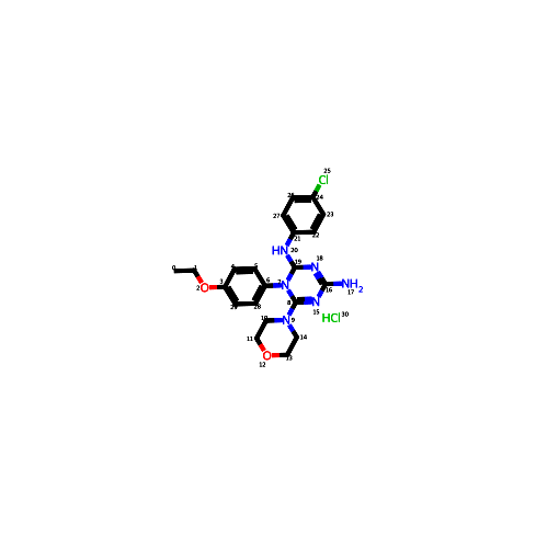 CCOc1ccc(N2C(N3CCOCC3)=NC(N)=NC2Nc2ccc(Cl)cc2)cc1.Cl